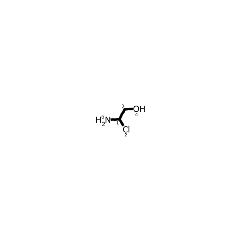 NC(Cl)CO